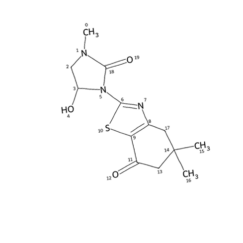 CN1CC(O)N(c2nc3c(s2)C(=O)CC(C)(C)C3)C1=O